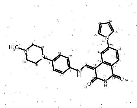 CN1CCN(c2ccc(N/C=C3\C(=O)NC(=O)c4ccc(-n5cccc5)cc43)cc2)CC1